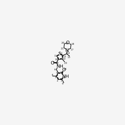 Cc1cc(C)c(CNC(=O)c2csc(C(C)N3CCOCC3)c2C)c(=O)[nH]1